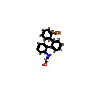 O=C=Nc1ccccc1-c1ccccc1-c1ccccc1S